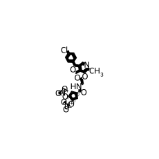 Cc1ncc2c(c1OC(=O)CNC(=O)[C@@H]1C[C@H](O[N+](=O)[O-])[C@H](O[N+](=O)[O-])C1)COC2c1ccc(Cl)cc1